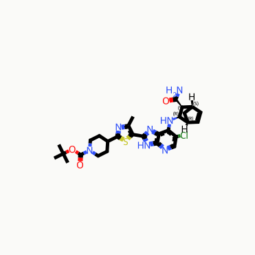 Cc1nc(C2CCN(C(=O)OC(C)(C)C)CC2)sc1-c1nc2c(N[C@H]3[C@@H](C(N)=O)[C@@H]4C=C[C@H]3C4)c(Cl)cnc2[nH]1